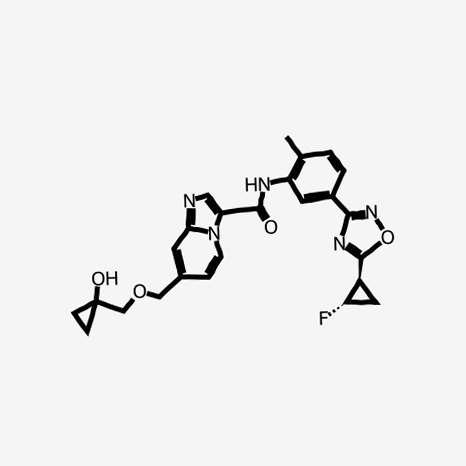 Cc1ccc(-c2noc([C@H]3C[C@@H]3F)n2)cc1NC(=O)c1cnc2cc(COCC3(O)CC3)ccn12